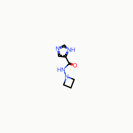 O=C(NN1CCC1)c1cnc[nH]1